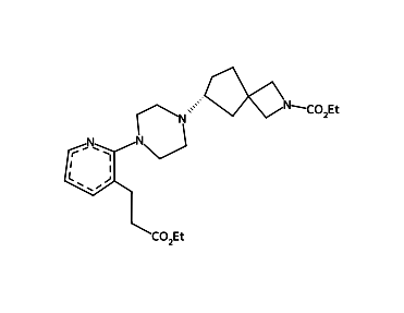 CCOC(=O)CCc1cccnc1N1CCN([C@@H]2CCC3(C2)CN(C(=O)OCC)C3)CC1